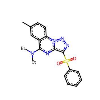 CCN(CC)c1nc2c(S(=O)(=O)c3ccccc3)nnn2c2ccc(C)cc12